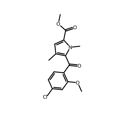 COC(=O)c1cc(C)c(C(=O)c2ccc(Cl)cc2OC)n1C